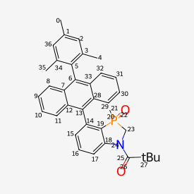 Cc1cc(C)c(-c2c3ccccc3c(-c3cccc4c3P(C)(=O)CN4C(=O)C(C)(C)C)c3ccccc23)c(C)c1